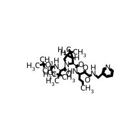 CCCC(NC(=O)[C@@H]1[C@@H]2[C@H](CN1C(=O)[C@@H](NC(=O)OC(C)(C)C)C(C)(C)C)C2(C)C)C(=O)C(=O)NCc1cccnc1